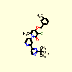 Cc1cccc(COc2cc(C)n(-c3ccnc(-c4ccnc(C(C)(C)C)n4)c3)c(=O)c2Cl)c1